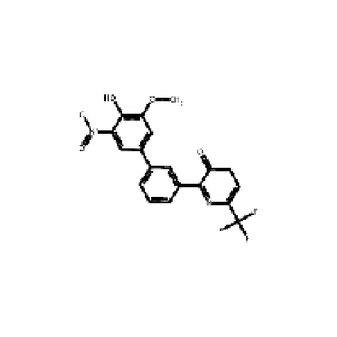 COc1cc(-c2cccc(C3=NC(C(F)(F)F)=CCC3=O)c2)cc([N+](=O)[O-])c1O